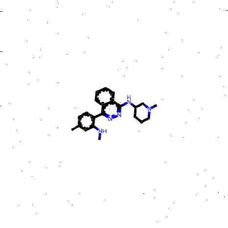 CNc1cc(C)ccc1-c1nnc(NC2CCCN(C)C2)c2ccccc12